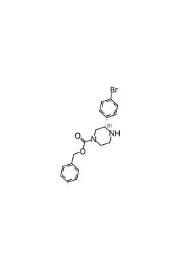 O=C(OCc1ccccc1)N1CCN[C@@H](c2ccc(Br)cc2)C1